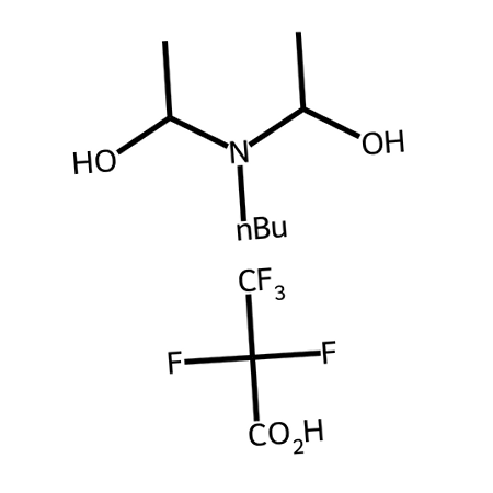 CCCCN(C(C)O)C(C)O.O=C(O)C(F)(F)C(F)(F)F